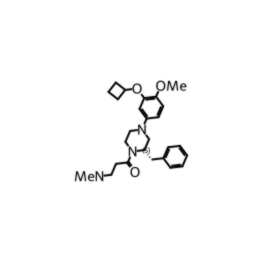 CNCCC(=O)N1CCN(c2ccc(OC)c(OC3CCC3)c2)C[C@@H]1Cc1ccccc1